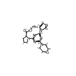 CC(C)(C)OC(=O)C1CCCN1c1nc(N2CCOCC2)nc(-n2ccnc2)n1